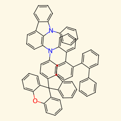 c1ccc(-c2ccccc2-c2ccccc2-c2ccccc2N(c2ccc3c(c2)-c2ccccc2C32c3ccccc3Oc3ccccc32)c2cccc3c4ccccc4n(-c4ccccc4)c23)cc1